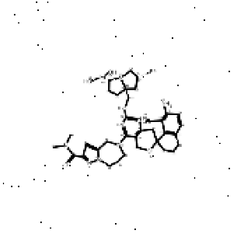 CN(C)C(=O)c1cc2n(n1)CCCN(c1nc(OC[C@@]34CCCN3C[C@H](F)C4)nc3c1COC1(CCCc4ccc(N)c(C#N)c41)C3)C2.[OH][Pd][OH]